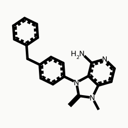 C=C1N(C)c2ccnc(N)c2N1c1ccc(Cc2ccccc2)cc1